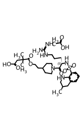 CC(=O)O.CC1CNc2c(cccc2S(=O)(=O)N[C@@H](CCCNC(=N)N)C(=O)N2CCC(CCOC(=O)C(C)(C)CC(=O)O)CC2)C1